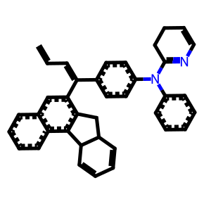 C=C/C=C(/c1ccc(N(C2=NC=CCC2)c2ccccc2)cc1)c1cc2ccccc2c2c1CC1C=CC=CC21